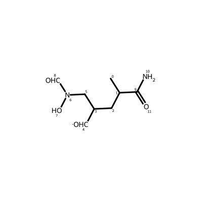 CC(CC([C]=O)CN(O)C=O)C(N)=O